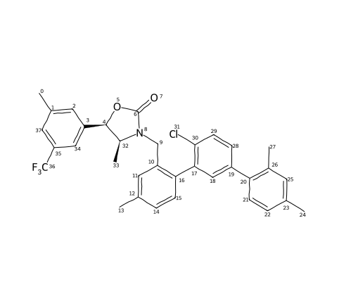 Cc1cc([C@H]2OC(=O)N(Cc3cc(C)ccc3-c3cc(-c4ccc(C)cc4C)ccc3Cl)[C@H]2C)cc(C(F)(F)F)c1